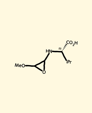 COC1OC1N[C@H](C(=O)O)C(C)C